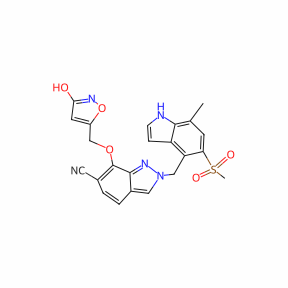 Cc1cc(S(C)(=O)=O)c(Cn2cc3ccc(C#N)c(OCc4cc(O)no4)c3n2)c2cc[nH]c12